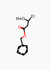 CCC(CC(=O)OCc1ccccc1)OC